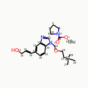 CC(C)(C)OC(=O)N1CCC[C@H]1c1nc2cc(C=CCO)ccc2n1COCC[Si](C)(C)C